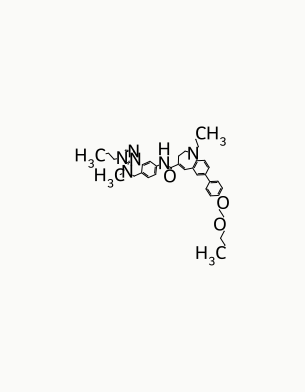 CCCCOCCOc1ccc(-c2ccc3c(c2)C=C(C(=O)Nc2ccc(CN(C)c4nncn4CCC)cc2)CCN3CCC)cc1